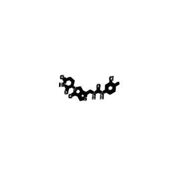 Cc1ccc(NC(=O)NCc2scc3c2CN([C@@H]2CCC(=O)NC2=O)C3=O)cc1Cl